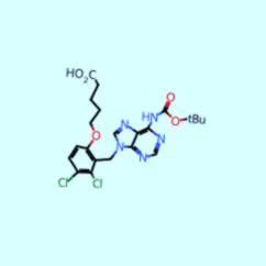 CC(C)(C)OC(=O)Nc1ncnc2c1ncn2Cc1c(OCCCCC(=O)O)ccc(Cl)c1Cl